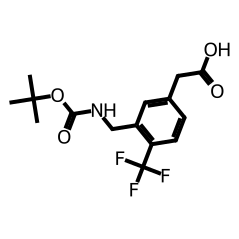 CC(C)(C)OC(=O)NCc1cc(CC(=O)O)ccc1C(F)(F)F